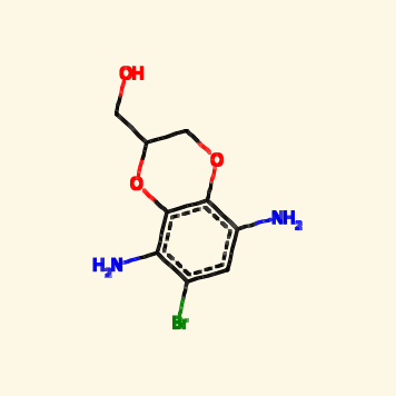 Nc1cc(Br)c(N)c2c1OCC(CO)O2